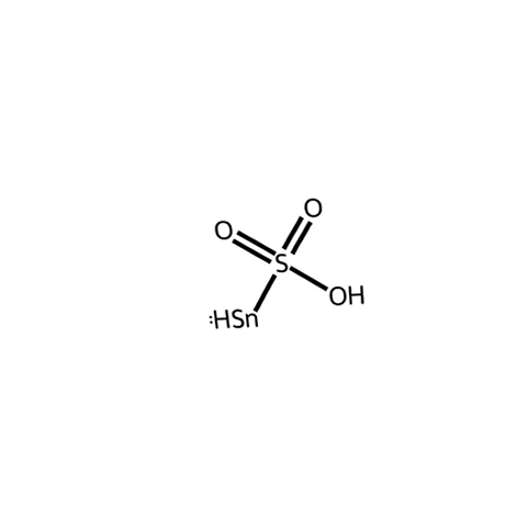 O=[S](=O)(O)[SnH]